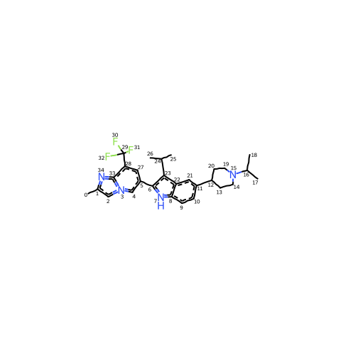 Cc1cn2cc(-c3[nH]c4ccc(C5CCN(C(C)C)CC5)cc4c3C(C)C)cc(C(F)(F)F)c2n1